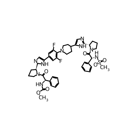 COC(=O)N[C@@H](C(=O)N1CCC[C@H]1c1ncc(-c2cc(F)c(N3CCC(c4cnc([C@@H]5CCCN5C(=O)[C@H](NS(C)(=O)=O)c5ccccc5)[nH]4)CC3)c(F)c2)[nH]1)c1ccccc1